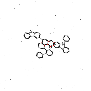 c1ccc(-c2ccccc2-c2c(-c3ccccc3)cccc2N(c2ccc(-c3ccc4sc5ccccc5c4c3)cc2)c2ccc3c(c2)c2ccccc2n3-c2ccccc2)cc1